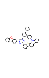 c1ccc(-c2ccc(-c3cc(-c4ccc5c(c4)oc4ccccc45)nc(-c4cccc5c4sc4c5ccc5c6ccccc6n(-c6ccccc6)c54)n3)cc2)cc1